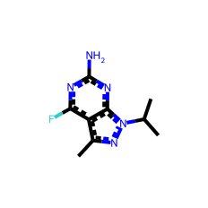 Cc1nn(C(C)C)c2nc(N)nc(F)c12